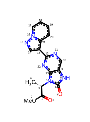 COC(=O)[C@H](C)n1c(=O)[nH]c2cnc(-c3cnn4ccccc34)nc21